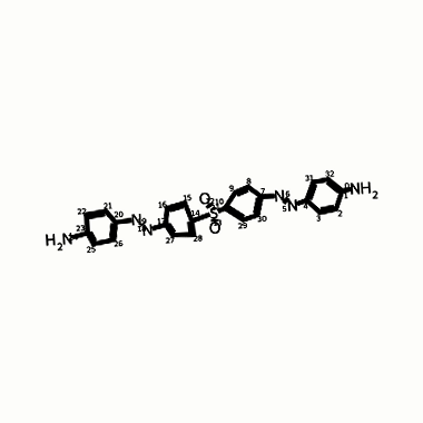 Nc1ccc(N=Nc2ccc(S(=O)(=O)c3ccc(N=Nc4ccc(N)cc4)cc3)cc2)cc1